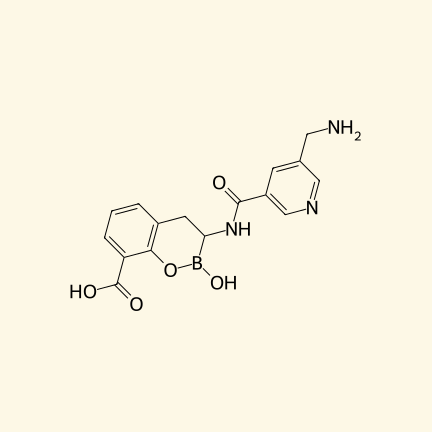 NCc1cncc(C(=O)NC2Cc3cccc(C(=O)O)c3OB2O)c1